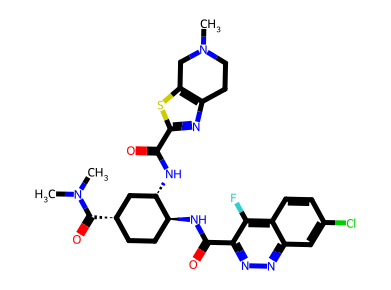 CN1CCc2nc(C(=O)N[C@H]3C[C@@H](C(=O)N(C)C)CC[C@@H]3NC(=O)c3nnc4cc(Cl)ccc4c3F)sc2C1